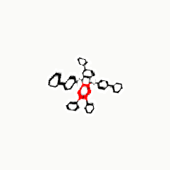 c1ccc(-c2ccc(N(c3ccc(-c4ccccc4)cc3)c3ccc(-c4ccccc4)cc3N(c3ccc(-c4ccccc4)cc3)c3ccc(-c4ccccc4)cc3)cc2)cc1